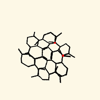 CC1CCC(C(C)C)C(c2c(C3CC(C)CCC3C(C)C)c(C3CC(C)CCC3C(C)C)c(C3CC(C)CCC3C(C)C)c(C3CC(C)CCC3C(C)C)c2C2CC(C)CCC2C(C)C)C1